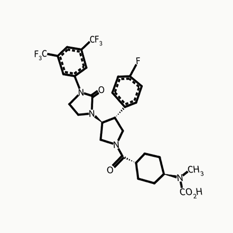 CN(C(=O)O)[C@H]1CC[C@H](C(=O)N2C[C@@H](N3CCN(c4cc(C(F)(F)F)cc(C(F)(F)F)c4)C3=O)[C@H](c3ccc(F)cc3)C2)CC1